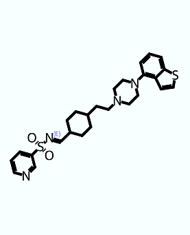 O=S(=O)(/N=C/C1CCC(CCN2CCN(c3cccc4sccc34)CC2)CC1)c1cccnc1